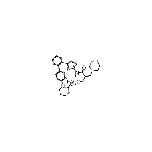 CN(C(=O)C(CC(=O)O)CC1CCOCC1)c1nc(-c2ccccc2-c2ccc(N3CCCCC3=O)nc2)cs1